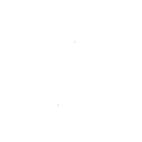 O=c1c2cc(-c3cccc(-c4cc5ccccc5c5cc6ccccc6nc45)c3)ccc2c2ccccc2n1-c1ccccc1